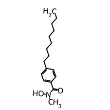 CCCCCCCCCc1ccc(C(=O)N(C)O)cc1